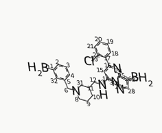 Bc1cccc(CN2CCCC(CNc3cc(-c4ccccc4Cl)nc4c(B)cnn34)C2)c1